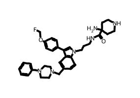 NC1(C(=O)NCCCn2cc(-c3ccc(OCF)cc3)c3cc(CN4CCN(c5ccccc5)CC4)ccc32)CCNCC1